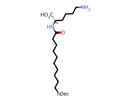 CCCCCCCCCCCCCCCCCCCC(=O)N[C@@H](CCCCN)C(=O)O